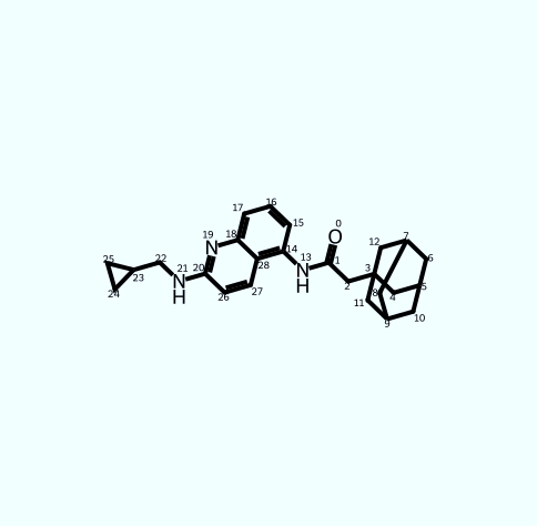 O=C(CC12CC3CC(CC(C3)C1)C2)Nc1cccc2nc(NCC3CC3)ccc12